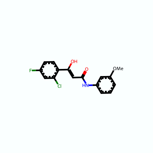 COc1cccc(NC(=O)/C=C(\O)c2ccc(F)cc2Cl)c1